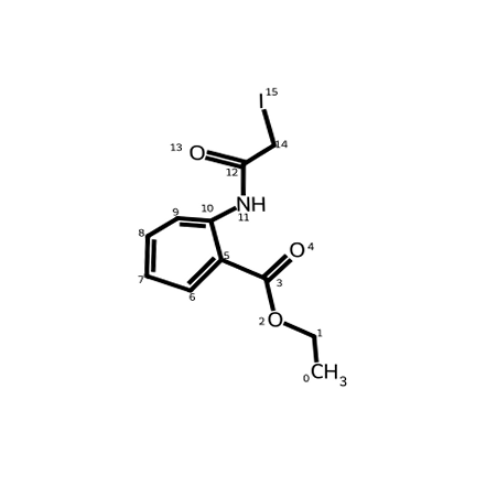 CCOC(=O)c1ccccc1NC(=O)CI